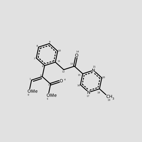 COC=C(C(=O)OC)c1ccccc1CC(=O)c1cnc(C)cn1